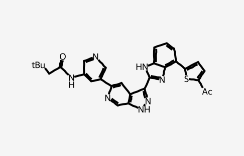 CC(=O)c1ccc(-c2cccc3[nH]c(-c4n[nH]c5cnc(-c6cncc(NC(=O)CC(C)(C)C)c6)cc45)nc23)s1